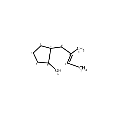 CC=C(C)CC1CCCC1O